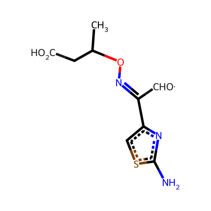 CC(CC(=O)O)ON=C([C]=O)c1csc(N)n1